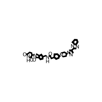 O=C(Cc1ccc(N2CCC(n3cc(-c4cnc5ccccc5n4)cn3)CC2)cc1)NCc1ccc2c(c1)CN(C1CCC(=O)NC1=O)C2=O